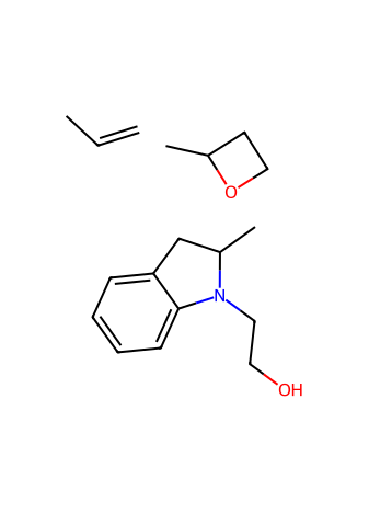 C=CC.CC1CCO1.CC1Cc2ccccc2N1CCO